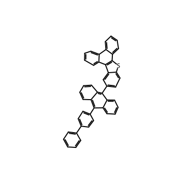 c1ccc(-c2ccc(-c3c4ccccc4c(-c4ccc5sc6c7ccccc7c7ccccc7c6c5c4)c4ccccc34)cc2)cc1